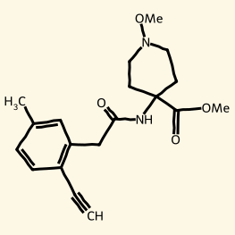 C#Cc1ccc(C)cc1CC(=O)NC1(C(=O)OC)CCN(OC)CC1